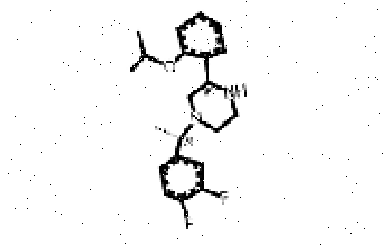 CC(C)Oc1ccccc1[C@@H]1CN([C@@H](C)c2ccc(F)c(F)c2)CCN1